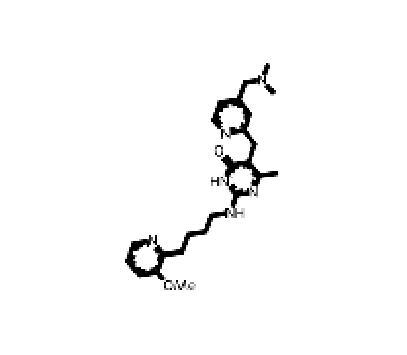 COc1cccnc1CCCCNc1nc(C)c(Cc2cc(CN(C)C)ccn2)c(=O)[nH]1